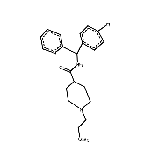 COCCN1CCC(C(=O)NC(c2ccc(Cl)cc2)c2ccccn2)CC1